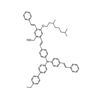 CCc1ccc(-c2ccc(N(c3ccc(C=Cc4ccccc4)cc3)c3ccc(C=Cc4cc(OCCC(C)CCCC(C)C)c(C=Cc5ccccc5)cc4CO)cc3)cc2)cc1